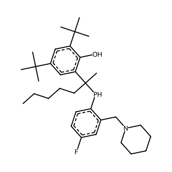 CCCCCC(C)(Pc1ccc(F)cc1CN1CCCCC1)c1cc(C(C)(C)C)cc(C(C)(C)C)c1O